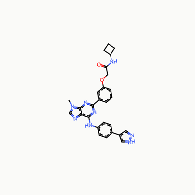 Cn1cnc2c(Nc3ccc(-c4cn[nH]c4)cc3)nc(-c3cccc(OCC(=O)NC4CCC4)c3)nc21